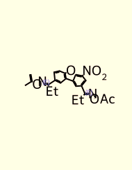 C=C(C)O/N=C(\CC)c1ccc2oc3c([N+](=O)[O-])cc(/C(CC)=N/OC(C)=O)cc3c2c1